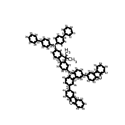 CC1(C)c2cc(N(c3ccc(-c4ccccc4)cc3)c3ccc(-c4ccccc4)cc3)ccc2-c2ccc(-n3c4ccc(-c5ccc6oc7ccccc7c6c5)cc4c4cc(-c5ccc6oc7ccccc7c6c5)ccc43)cc21